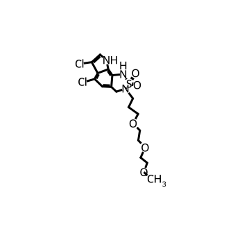 COCCOCCOCCCN1Cc2cc(Cl)c3c(Cl)c[nH]c3c2NS1(=O)=O